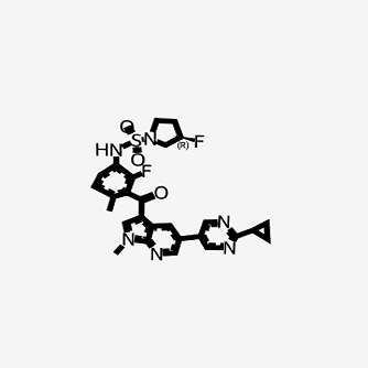 Cc1ccc(NS(=O)(=O)N2CC[C@@H](F)C2)c(F)c1C(=O)c1cn(C)c2ncc(-c3cnc(C4CC4)nc3)cc12